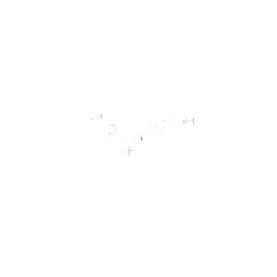 [La].[LiH].[O]=[GaH].[Zr]